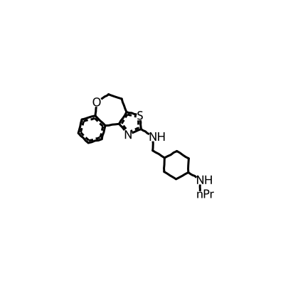 CCCNC1CCC(CNc2nc3c(s2)CCOc2ccccc2-3)CC1